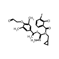 C=C(S/C(=N\N)N(CC1CC1)C(=O)c1cccc(F)c1Cl)c1cc(C)c(OCC=O)c(C)c1